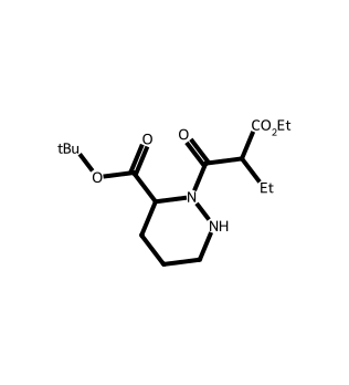 CCOC(=O)C(CC)C(=O)N1NCCCC1C(=O)OC(C)(C)C